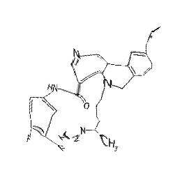 CC(N)CCN1Cc2ccc(F)cc2-c2cncc(C(=O)Nc3ccc(F)c(F)c3)c21